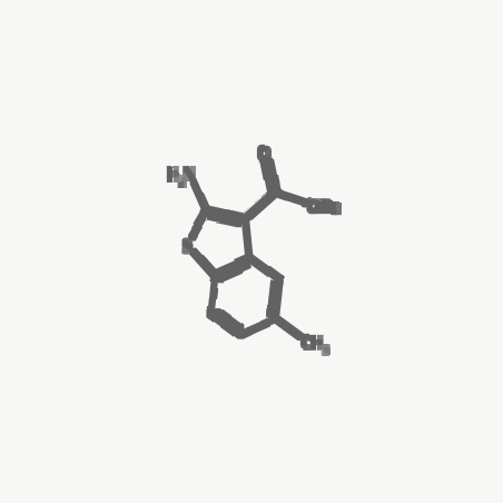 Cc1ccc2sc(N)c(C(=O)OCC(C)C)c2c1